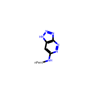 CCCCCNc1cc2[nH]nnc2nn1